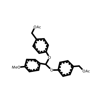 COc1ccc(C(Oc2ccc(COC(C)=O)cc2)Oc2ccc(COC(C)=O)cc2)cc1